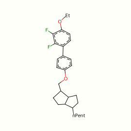 CCCCCC1CCC2C(COc3ccc(-c4ccc(OCC)c(F)c4F)cc3)CCC12